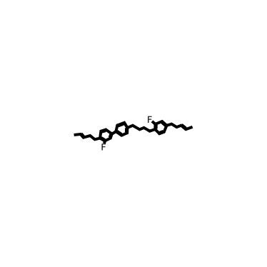 C/C=C/CCc1ccc(CCCCc2ccc(-c3ccc(CC/C=C/C)c(F)c3)cc2)c(F)c1